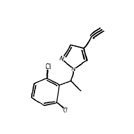 C#Cc1cnn(C(C)c2c(Cl)cccc2Cl)c1